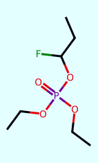 CCOP(=O)(OCC)OC(F)CC